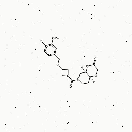 COc1cc(COC2CN(C(=O)N3CC[C@@H]4OCC(=O)N[C@@H]4C3)C2)ccc1F